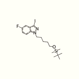 CC(C)(C)[Si](C)(C)OCCCCCn1nc(I)c2cc(F)ccc21